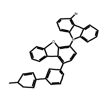 CC1C=CC(c2cccc(-c3ccc(-n4c5ccccc5c5c(Br)cccc54)c4oc5ccccc5c34)c2)=CC1